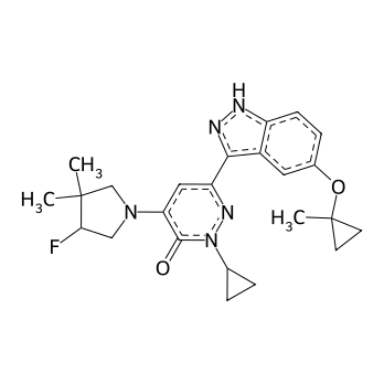 CC1(Oc2ccc3[nH]nc(-c4cc(N5CC(F)C(C)(C)C5)c(=O)n(C5CC5)n4)c3c2)CC1